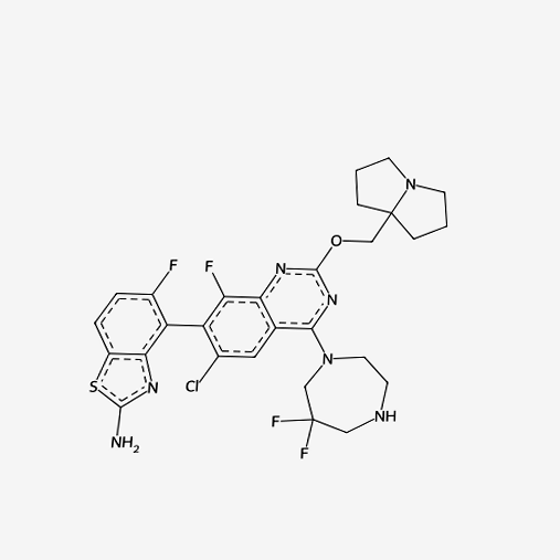 Nc1nc2c(-c3c(Cl)cc4c(N5CCNCC(F)(F)C5)nc(OCC56CCCN5CCC6)nc4c3F)c(F)ccc2s1